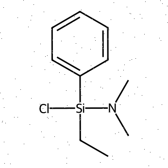 CC[Si](Cl)(c1ccccc1)N(C)C